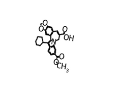 COC(=O)c1ccc2c(C3CCCCC3)c3n(c2c1)CC(C(=O)O)=Cc1cc2c(cc1-3)OCO2